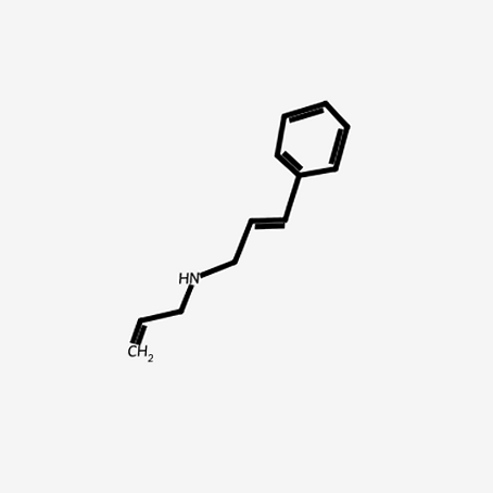 C=CCNC/C=C/c1ccccc1